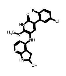 CSc1[nH]c(=O)c(-c2cc(Cl)ccc2F)cc1Nc1ccnc2c1CC(O)N2